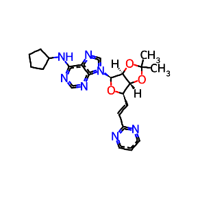 CC1(C)O[C@H]2[C@H](O1)[C@@H](C=Cc1ncccn1)O[C@H]2n1cnc2c(NC3CCCC3)ncnc21